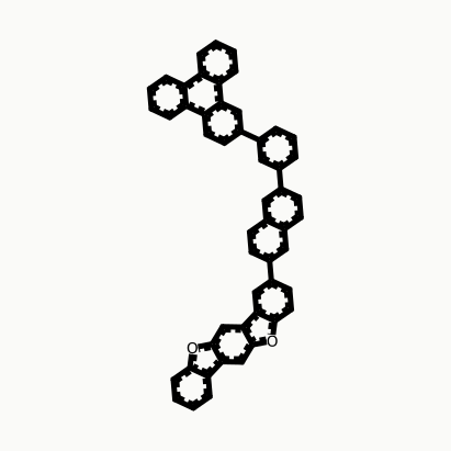 c1cc(-c2ccc3cc(-c4ccc5oc6cc7c(cc6c5c4)oc4ccccc47)ccc3c2)cc(-c2ccc3c4ccccc4c4ccccc4c3c2)c1